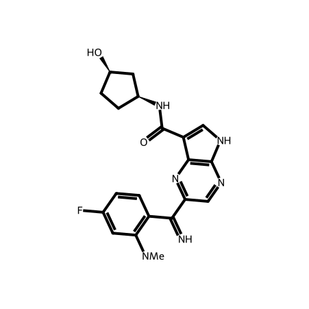 CNc1cc(F)ccc1C(=N)c1cnc2[nH]cc(C(=O)N[C@H]3CC[C@@H](O)C3)c2n1